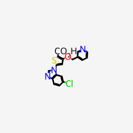 O=C(O)c1sc(-n2cnc3ccc(Cl)cc32)cc1OCc1cccnc1